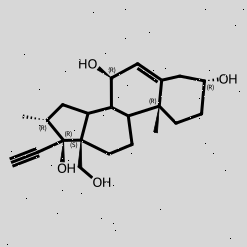 C#C[C@]1(O)[C@H](C)CC2C3C(CC[C@@]21CO)[C@@]1(C)CC[C@@H](O)CC1=C[C@@H]3O